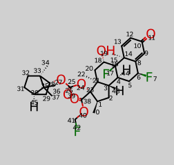 C[C@@H]1C[C@H]2[C@@H]3C[C@H](F)C4=CC(=O)C=C[C@]4(C)C3(F)[C@@H](O)C[C@]2(C)[C@]1(OC(=O)O[C@@H]1C[C@H]2CC[C@]1(C)C2(C)C)C(=O)OCF